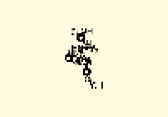 CSC(C)(C)c1cc(NC(=O)NCc2ccccc2Sc2ccc3nnc(-c4ccc(OCCO)cc4)n3c2)n(-c2ccc(Cl)c(O)c2)n1